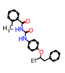 CCC(Cc1ccccc1)Oc1ccc(NC(=O)NC(=O)c2ccccc2C)cc1